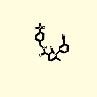 Cc1ccc(C(=O)NCc2ccc(S(C)(=O)=O)cc2)c(=O)n1-c1cccc(C#N)c1